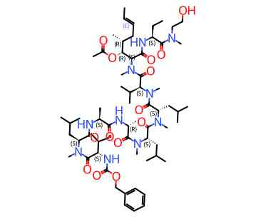 C/C=C/C[C@@H](C)[C@@H](OC(C)=O)[C@@H](C(=O)N[C@@H](CC)C(=O)N(C)CCO)N(C)C(=O)[C@H](C(C)C)N(C)C(=O)[C@H](CC(C)C)N(C)C(=O)[C@H](CC(C)C)N(C)C(=O)[C@@H](C)NC(=O)[C@H](C)NC(=O)[C@H](CC(C)C)N(C)C(=O)[C@@H](NC(=O)OCc1ccccc1)C(C)C